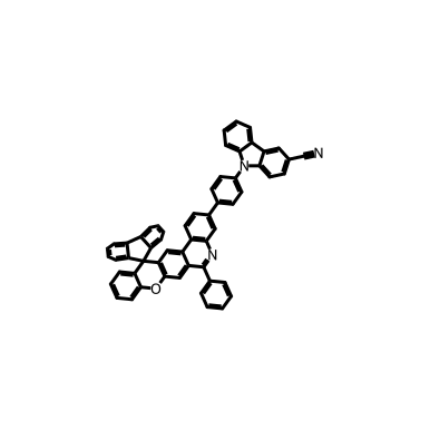 N#Cc1ccc2c(c1)c1ccccc1n2-c1ccc(-c2ccc3c(c2)nc(-c2ccccc2)c2cc4c(cc23)C2(c3ccccc3O4)c3ccccc3-c3ccccc32)cc1